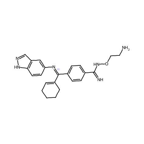 N=C(NOCCN)c1ccc(/C(=N/c2ccc3[nH]ncc3c2)C2=CCCCC2)cc1